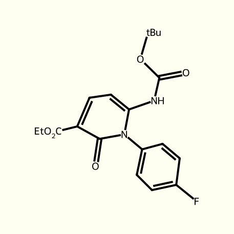 CCOC(=O)c1ccc(NC(=O)OC(C)(C)C)n(-c2ccc(F)cc2)c1=O